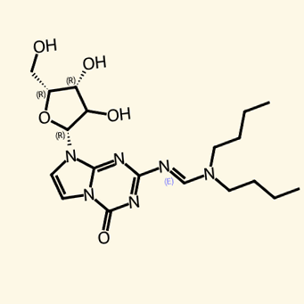 CCCCN(/C=N/c1nc(=O)n2ccn([C@@H]3O[C@H](CO)[C@H](O)C3O)c2n1)CCCC